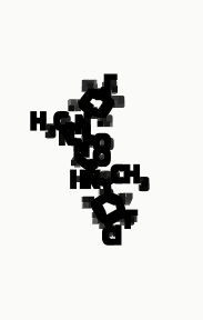 Cc1nn(CC(=O)N[C@@H](C)c2ccc(Cl)c(F)c2)c(=O)n1-c1ccc(F)cc1